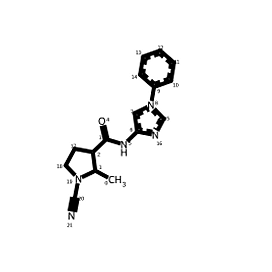 CC1C(C(=O)Nc2cn(-c3ccccc3)cn2)CCN1C#N